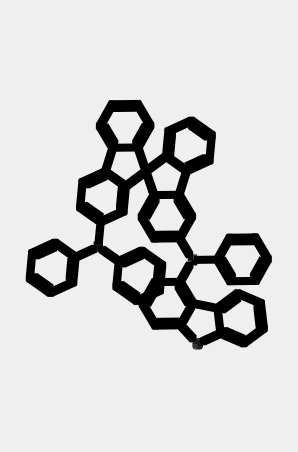 c1ccc(N(c2ccccc2)c2ccc3c(c2)C2(c4ccccc4-c4cc(N(c5ccccc5)c5cccc6oc7ccccc7c56)ccc42)c2ccccc2-3)cc1